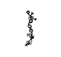 CN(C(=O)/C(C#N)=C/c1ccccc1)C(c1ccc(CN2CCC(N3CCC(CNc4ncc(SCc5ncc(C(C)(C)C)o5)s4)CC3)CC2)cc1)C1CC1